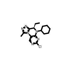 CC[C@@H]1c2nnc(C)n2-c2cnc(Cl)nc2N1C1CCCCC1